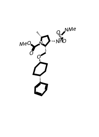 CNS(=O)(=O)N[C@H]1C[C@@H](C)N(C(=O)OC)[C@H]1CO[C@H]1CC[C@@H](c2ccccc2)CC1